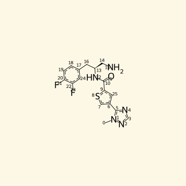 Cn1ncnc1-c1csc(C(=O)N[C@H](CN)Cc2ccc(F)c(F)c2)c1